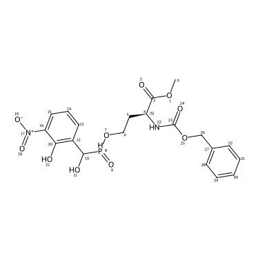 COC(=O)[C@H](CCO[PH](=O)C(O)c1cccc([N+](=O)[O-])c1O)NC(=O)OCc1ccccc1